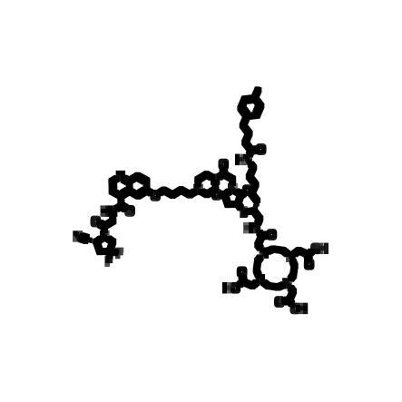 Cc1ccc(CCCC(=O)NCCCCC[C@H](CNC(=O)CN2CCN(CC(=O)O)CCN(CC(=O)O)CCN(CC(=O)O)CC2)SC2CC(=O)N(CC(=O)N3CCN(CCCCOc4ccc5nccc(C(=O)NCC(=O)N6CC(F)(F)C[C@@H]6C#N)c5c4)CC3)C2=O)cc1